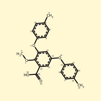 COc1c(Oc2ccc(C)cc2)cc(Oc2ccc(C)cc2)cc1C(=O)O